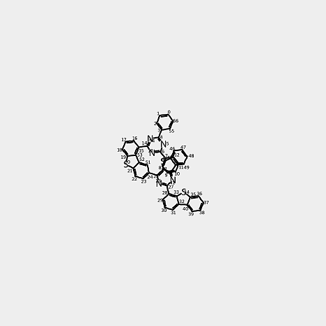 c1ccc(-c2nc(-c3ccccc3)nc(-c3cccc4sc5ccc(-c6nc(-c7cccc8c7sc7ccccc78)nc7c6sc6ccccc67)cc5c34)n2)cc1